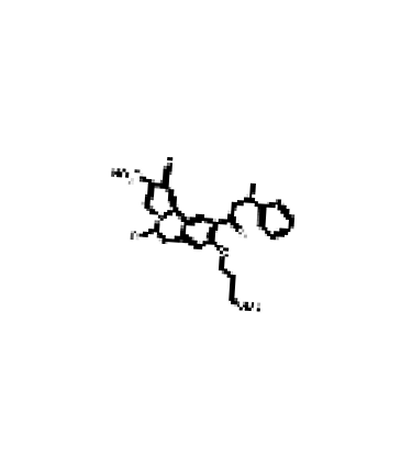 COCCCOc1cc2c(cc1C(=O)CC(C)c1ccccc1)-c1cc(=O)c(C(=O)O)cn1C(C(C)C)C2